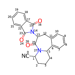 N#CC1CCCC2c3ccccc3CC(N3C(=O)c4ccccc4C3=O)C(=O)N12